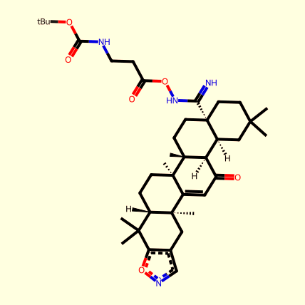 CC1(C)CC[C@]2(C(=N)NOC(=O)CCNC(=O)OC(C)(C)C)CC[C@]3(C)[C@H](C(=O)C=C4[C@@]5(C)Cc6cnoc6C(C)(C)[C@@H]5CC[C@]43C)[C@@H]2C1